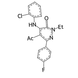 CCn1nc(-c2ccc(F)cc2)c(C(C)=O)c(Nc2ccccc2Cl)c1=O